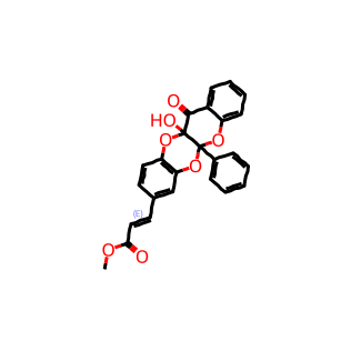 COC(=O)/C=C/c1ccc2c(c1)OC1(c3ccccc3)Oc3ccccc3C(=O)C1(O)O2